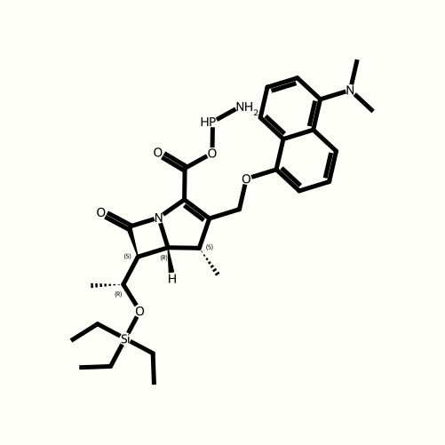 CC[Si](CC)(CC)O[C@H](C)[C@H]1C(=O)N2C(C(=O)OPN)=C(COc3cccc4c(N(C)C)cccc34)[C@H](C)[C@H]12